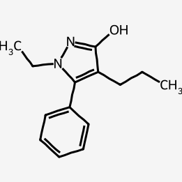 CCCc1c(O)nn(CC)c1-c1ccccc1